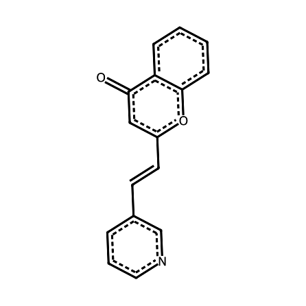 O=c1cc(/C=C/c2cccnc2)oc2ccccc12